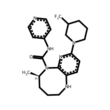 C[C@@H]1CCCNc2ccc(N3CCCC(C(F)(F)F)C3)nc2N1C(=O)Nc1ccncc1